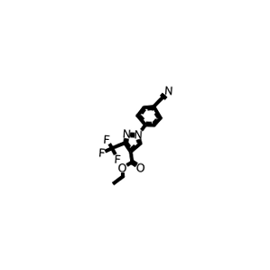 CCOC(=O)c1cn(-c2ccc(C#N)cc2)nc1C(F)(F)F